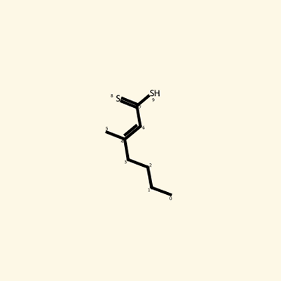 CCCCC(C)=CC(=S)S